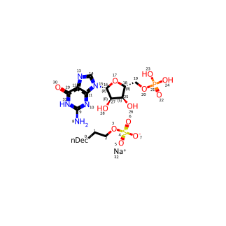 CCCCCCCCCCCCOS(=O)(=O)[O-].Nc1nc2c(ncn2[C@@H]2O[C@H](COP(=O)(O)O)[C@@H](O)[C@H]2O)c(=O)[nH]1.[Na+]